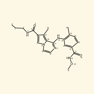 CCCNC(=O)c1cn2ccnc(Nc3cc(C(=O)NOC)ccc3C)c2c1C